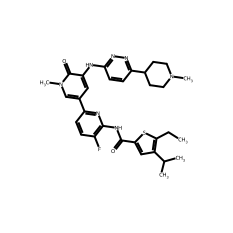 CCc1sc(C(=O)Nc2nc(-c3cc(Nc4ccc(C5CCN(C)CC5)nn4)c(=O)n(C)c3)ccc2F)cc1C(C)C